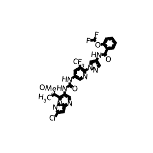 CO[C@@H](C)c1c(NC(=O)Nc2cnc(-n3cc(NC(=O)c4ccccc4OC(F)F)cn3)c(C(F)(F)F)c2)cnc2cc(Cl)nn12